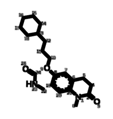 CN1C(=O)CCc2cc(OCCCC3CCCCC3)ccc21.CNC=O